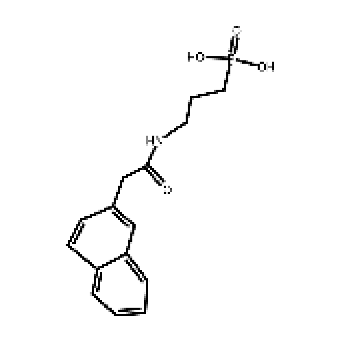 O=C(Cc1ccc2ccccc2c1)NCCCP(=O)(O)O